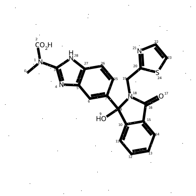 CN(C(=O)O)c1nc2cc(C3(O)c4ccccc4C(=O)N3Cc3nccs3)ccc2[nH]1